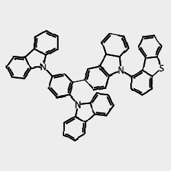 C1=CC2c3cc(-c4cc(-n5c6ccccc6c6ccccc65)ccc4-n4c5ccccc5c5ccccc54)ccc3N(c3cccc4sc5ccccc5c34)C2C=C1